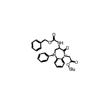 CC(C)(C)OC(=O)CN1C(=O)C(NC(=O)OCc2ccccc2)CN(c2ccccc2)c2ccccc21